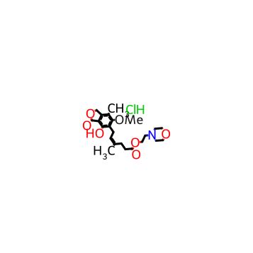 COc1c(C)c2c(c(O)c1CC=C(C)CCC(=O)OCCN1CCOCC1)C(=O)OC2.Cl